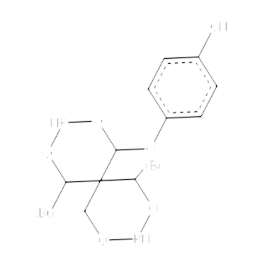 Cc1ccc(OC2OPOC(C(C)(C)C)C23COPOC3C(C)(C)C)cc1